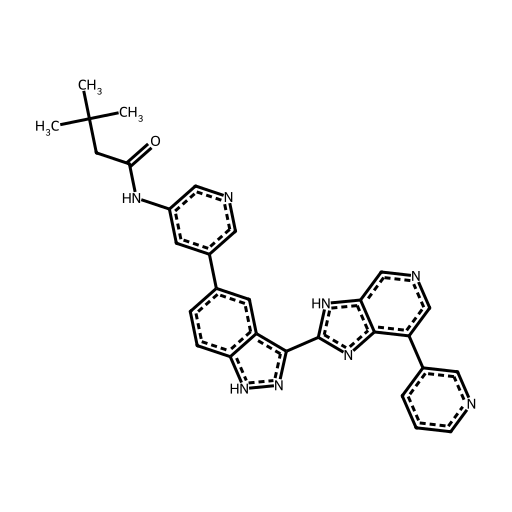 CC(C)(C)CC(=O)Nc1cncc(-c2ccc3[nH]nc(-c4nc5c(-c6cccnc6)cncc5[nH]4)c3c2)c1